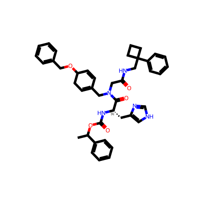 CC(OC(=O)N[C@@H](Cc1c[nH]cn1)C(=O)N(CC(=O)NCC1(c2ccccc2)CCC1)CC1=CCC(OCc2ccccc2)C=C1)c1ccccc1